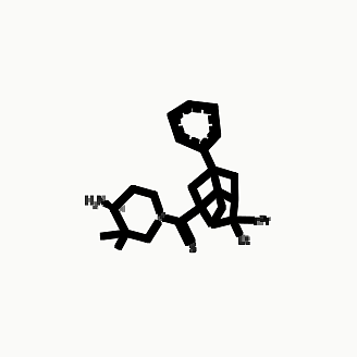 CCCC1(CC)C2CC3(c4ccccc4)CC1C(C(=S)N1CC[C@H](N)C(C)(C)C1)(C2)C3